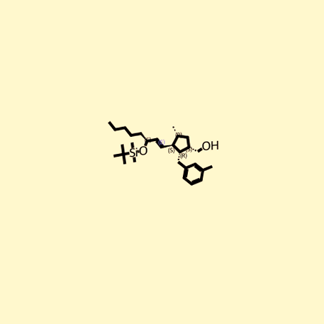 CCCCC[C@@H](/C=C/[C@@H]1[C@@H](Cc2cccc(C)c2)[C@@H](CO)C[C@H]1C)O[Si](C)(C)C(C)(C)C